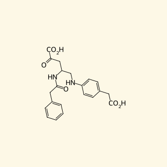 O=C(O)Cc1ccc(NCC(CC(=O)C(=O)O)NC(=O)Cc2ccccc2)cc1